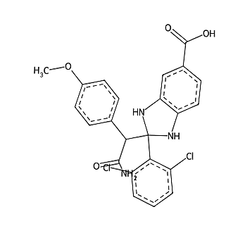 COc1ccc(C(C(N)=O)C2(c3c(Cl)cccc3Cl)Nc3ccc(C(=O)O)cc3N2)cc1